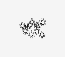 c1ccc(-c2cc(-c3ccccc3)cc(-c3nc(-c4ccccc4)nc(-c4cccc5cc(-n6c7ccccc7c7ccccc76)ccc45)n3)c2)cc1